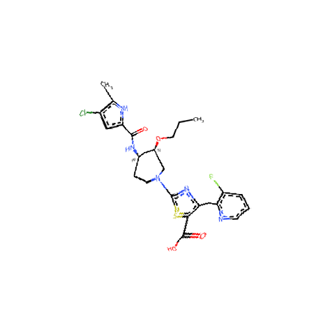 CCCO[C@H]1CN(c2nc(-c3ncccc3F)c(C(=O)O)s2)CC[C@H]1NC(=O)c1cc(Cl)c(C)[nH]1